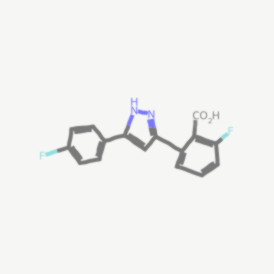 O=C(O)c1c(F)cccc1-c1cc(-c2ccc(F)cc2)[nH]n1